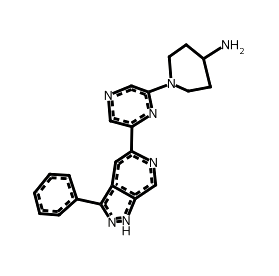 NC1CCN(c2cncc(-c3cc4c(-c5ccccc5)n[nH]c4cn3)n2)CC1